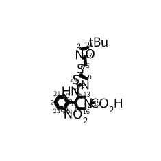 CC(C)(C)c1cnc(CSc2cnc(NC3CN(C(=O)O)CCC3c3ccccc3[N+](=O)[O-])s2)o1